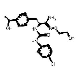 CC(O)c1ccc(C[C@H](NC(=O)Nc2ccc(Cl)cc2)/C(N)=N/OCCO)cc1